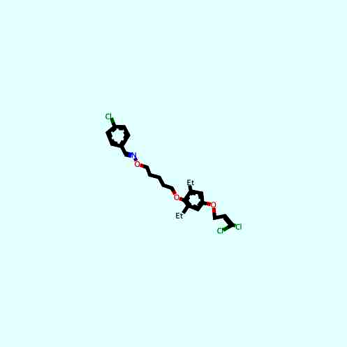 CCc1cc(OCC=C(Cl)Cl)cc(CC)c1OCCCCCON=Cc1ccc(Cl)cc1